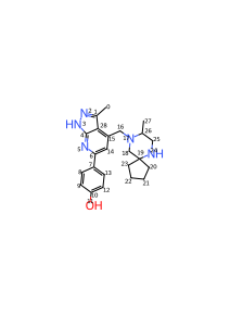 Cc1n[nH]c2nc(-c3ccc(O)cc3)cc(CN3CC4(CCCC4)NCC3C)c12